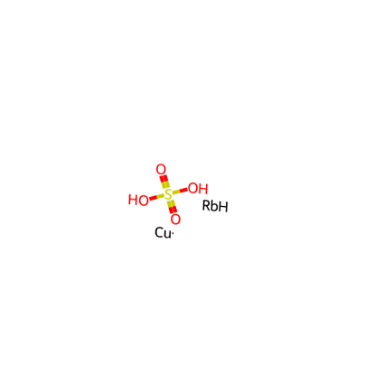 O=S(=O)(O)O.[Cu].[RbH]